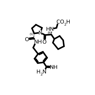 N=C(N)c1ccc(CNC(=O)[C@@H]2CCCN2C(=O)[C@H](NCC(=O)O)C2CCCCC2)cc1